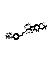 CC1(C)Cc2nc3sc4c(NCCc5ccc(NS(C)(=O)=O)cc5)ncnc4c3cc2CO1